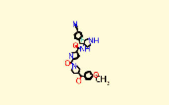 COc1ccc(C(=O)C2CCN(C(=O)c3ccc(C(=O)N[C@@]4(Cc5ccc(C#N)cc5)CCNC[C@@H]4F)cn3)CC2)cc1